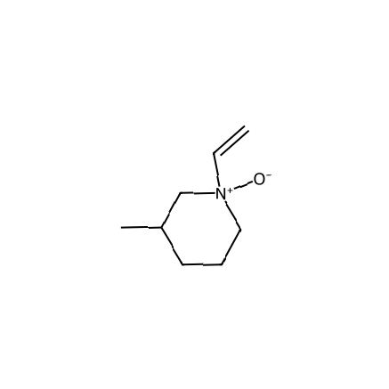 C=C[N+]1([O-])CCCC(C)C1